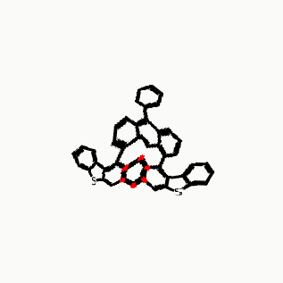 c1ccc(-c2c3cccc(-c4c5ccccc5cc5sc6ccccc6c45)c3cc3c(-c4c5ccccc5cc5sc6ccccc6c45)cccc23)cc1